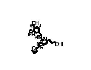 COc1ccc(CNc2nc(C=CCO)cc3nc(-c4ccco4)nn23)cc1OC